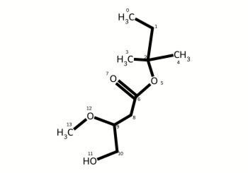 CCC(C)(C)OC(=O)CC(CO)OC